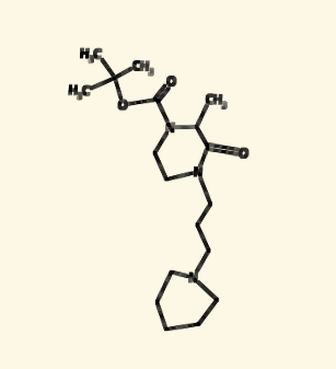 CC1C(=O)N(CCCN2CCCCC2)CCN1C(=O)OC(C)(C)C